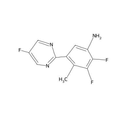 Cc1c(-c2ncc(F)cn2)cc(N)c(F)c1F